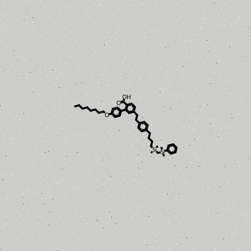 CCCCCCCCOc1ccc(-c2cc(CCc3ccc(CCCC[Si](C)(C)C[Si](C)(C)c4ccccc4)cc3)ccc2C(=O)O)cc1